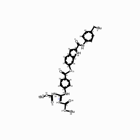 CC(C)(C)Cc1ccc(NC(=O)c2cc3ccc(OC(=O)c4ccc(N/C(=N\C(=O)OC(C)(C)C)NC(=O)OC(C)(C)C)cc4)cc3[nH]2)cc1